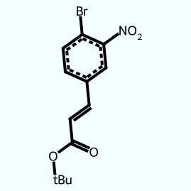 CC(C)(C)OC(=O)/C=C/c1ccc(Br)c([N+](=O)[O-])c1